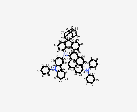 c1ccc(N(c2ccccc2)c2ccc3ccc4c(N(c5ccc6c(c5)c5ccccc5n6-c5ccccc5)c5cccc6c5-c5ccccc5C65C6CC7CC(C6)CC5C7)ccc5ccc2c3c54)cc1